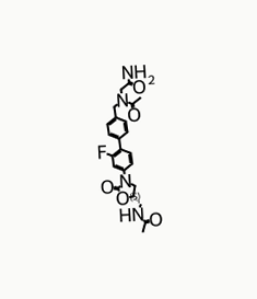 CC(=O)NC[C@H]1CN(c2ccc(-c3ccc(CN(CC(N)=O)C(C)=O)cc3)c(F)c2)C(=O)O1